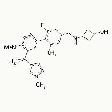 C=C(c1cnn(C)c1)c1cc(-c2c(C)cc(CNC3CC(O)C3)cc2F)ncc1NC